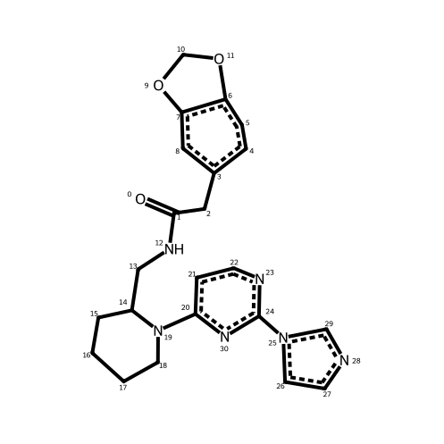 O=C(Cc1ccc2c(c1)OCO2)NCC1CCCCN1c1ccnc(-n2ccnc2)n1